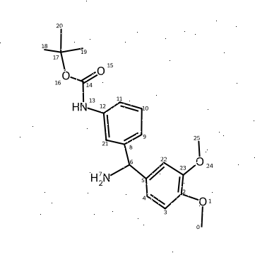 COc1ccc(C(N)c2cccc(NC(=O)OC(C)(C)C)c2)cc1OC